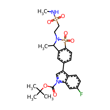 CNS(=O)(=O)CCN1C(C)c2cc(-c3cn(C(=O)OC(C)(C)C)c4cc(F)ccc34)ccc2S1(=O)=O